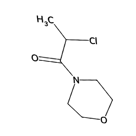 CC(Cl)C(=O)N1CCOCC1